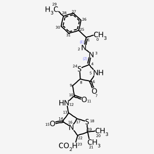 C/C(=N\N=C1\NC(=O)C(CC(=O)NC2C(=O)N3C2SC(C)(C)C3C(=O)O)S1)c1ccc(C)cc1